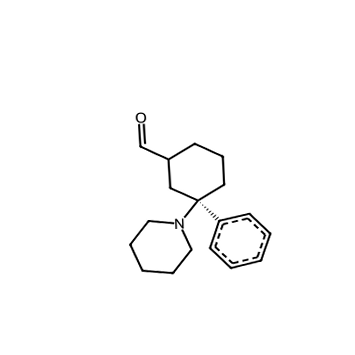 O=CC1CCC[C@@](c2ccccc2)(N2CCCCC2)C1